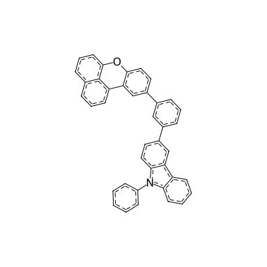 c1ccc(-n2c3ccccc3c3cc(-c4cccc(-c5ccc6c(c5)-c5cccc7cccc(c57)O6)c4)ccc32)cc1